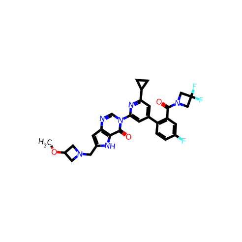 COC1CN(Cc2cc3ncn(-c4cc(-c5ccc(F)cc5C(=O)N5CC(F)(F)C5)cc(C5CC5)n4)c(=O)c3[nH]2)C1